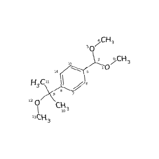 COC(OC)c1ccc(C(C)(C)OC)cc1